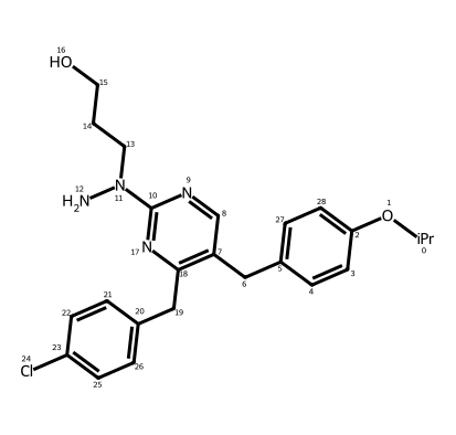 CC(C)Oc1ccc(Cc2cnc(N(N)CCCO)nc2Cc2ccc(Cl)cc2)cc1